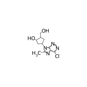 Cc1nc2c(Cl)ncnc2n1C1CC(O)C(CO)C1